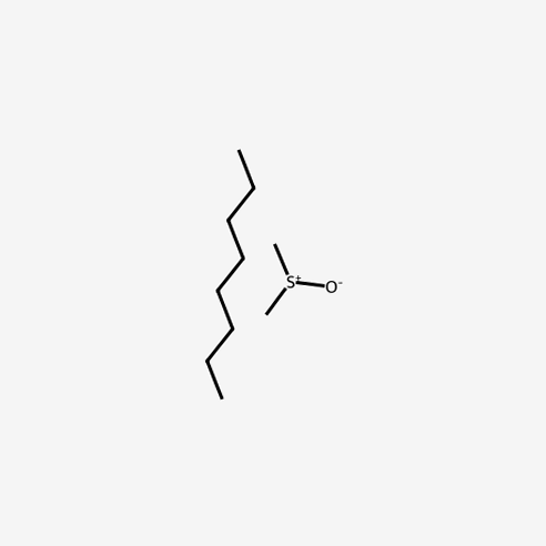 CCCCCCCC.C[S+](C)[O-]